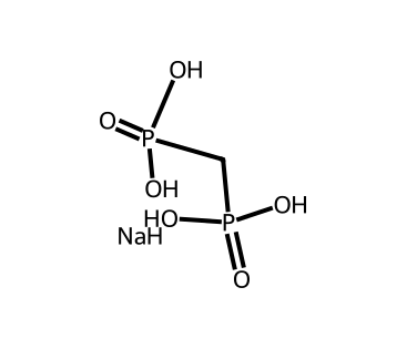 O=P(O)(O)CP(=O)(O)O.[NaH]